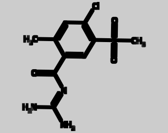 Cc1cc(Cl)c(S(C)(=O)=O)cc1C(=O)N=C(N)N